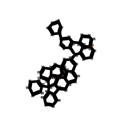 c1ccc(-c2ccc(N(c3ccccc3)c3ccc4c(ccc5cc6c(cc54)C(c4ccccc4)(c4cccc5ccccc45)c4ccccc4-6)c3)c(-c3ccccc3)c2)cc1